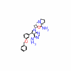 NC(=O)[C@@H]1CCCN1C[C@H]1C[C@H](n2cc(-c3cccc(OCc4ccccc4)c3)c3c(N)ncnc32)C1